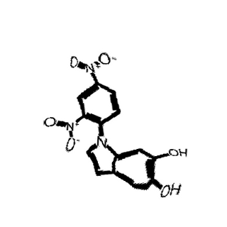 O=[N+]([O-])c1ccc(-n2ccc3cc(O)c(O)cc32)c([N+](=O)[O-])c1